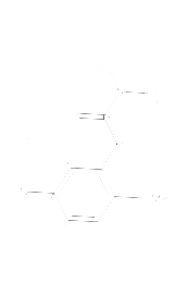 COc1ccc(N)cc1CC(=O)N(C)C.Cl